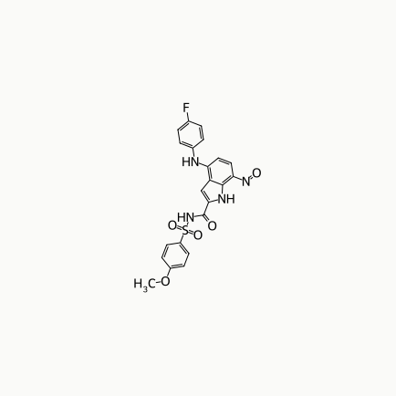 COc1ccc(S(=O)(=O)NC(=O)c2cc3c(Nc4ccc(F)cc4)ccc(N=O)c3[nH]2)cc1